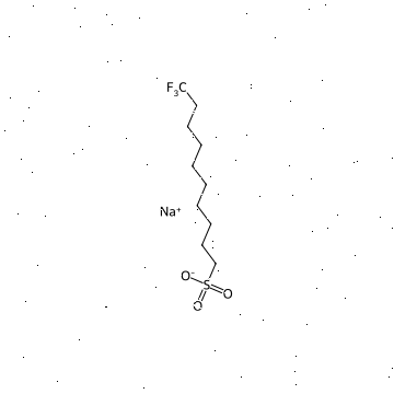 O=S(=O)([O-])CCCCCCCCCC(F)(F)F.[Na+]